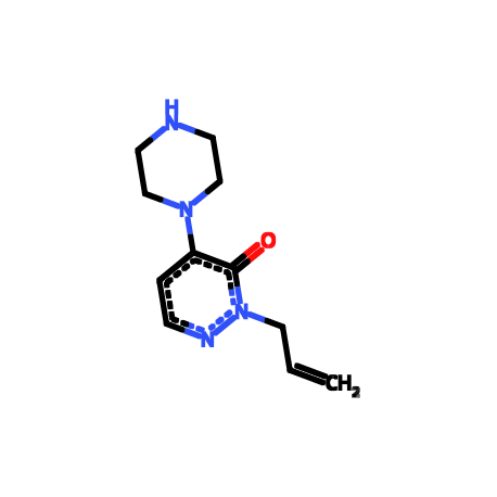 C=CCn1nccc(N2CCNCC2)c1=O